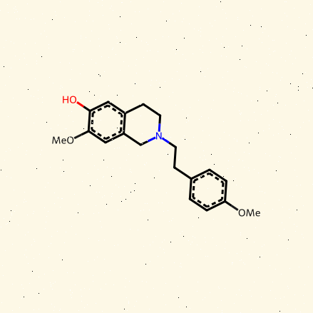 COc1ccc(CCN2CCc3cc(O)c(OC)cc3C2)cc1